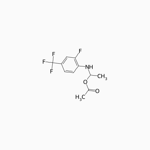 CC(=O)OC(C)Nc1ccc(C(F)(F)F)cc1F